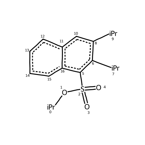 CC(C)OS(=O)(=O)c1c(C(C)C)c(C(C)C)cc2ccccc12